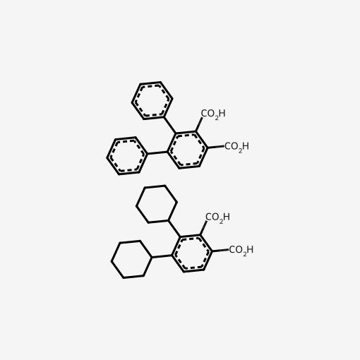 O=C(O)c1ccc(-c2ccccc2)c(-c2ccccc2)c1C(=O)O.O=C(O)c1ccc(C2CCCCC2)c(C2CCCCC2)c1C(=O)O